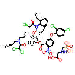 C=CCN(CC=C)C(=O)C(Cl)Cl.CCc1cccc(CC)c1N(COC)C(=O)CCl.COC(=O)c1cc(Oc2ccc(Cl)cc2Cl)ccc1[N+](=O)[O-].O=C(O)CNCP(=O)(O)O